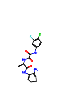 C[C@@H](NC(=O)C(=O)Nc1ccc(Cl)c(F)c1)C(=O)Nc1ccccc1N